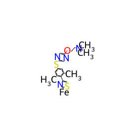 Cc1cc(Sc2cnc(OCCN(C)C)cn2)cc(C)c1-c1cs[c]([Fe])n1